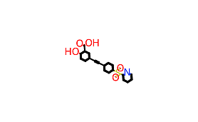 O=C(O)c1cc(C#Cc2ccc(S(=O)(=O)c3ccccn3)cc2)ccc1O